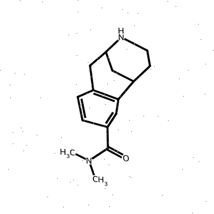 CN(C)C(=O)c1ccc2c(c1)C1CCNC(C2)C1